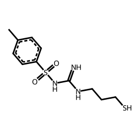 Cc1ccc(S(=O)(=O)NC(=N)NCCCS)cc1